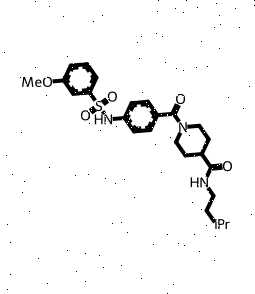 COc1cccc(S(=O)(=O)Nc2ccc(C(=O)N3CCC(C(=O)NCCC(C)C)CC3)cc2)c1